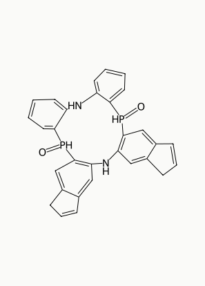 O=[PH]1c2ccccc2Nc2ccccc2[PH](=O)c2cc3c(cc2Nc2cc4c(cc21)C=CC4)C=CC3